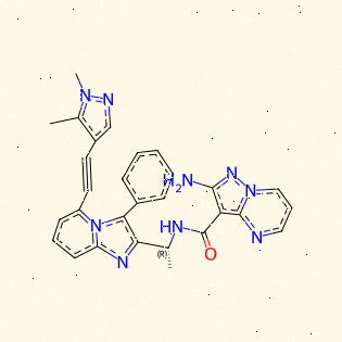 Cc1c(C#Cc2cccc3nc([C@@H](C)NC(=O)c4c(N)nn5cccnc45)c(-c4ccccc4)n23)cnn1C